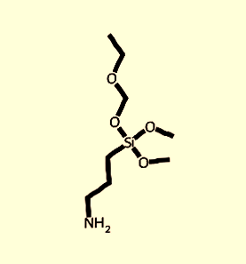 CCOCO[Si](CCCN)(OC)OC